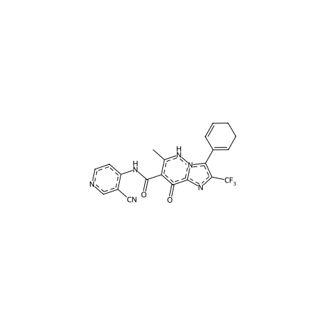 Cc1[nH]n2c(C3=CCCC=C3)c(C(F)(F)F)nc2c(=O)c1C(=O)Nc1ccncc1C#N